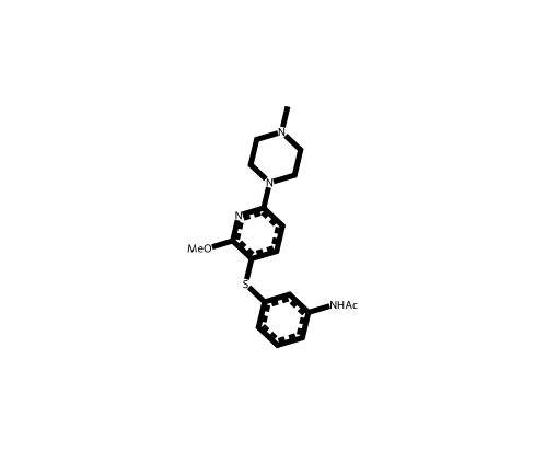 COc1nc(N2CCN(C)CC2)ccc1Sc1cccc(NC(C)=O)c1